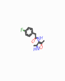 CC1=C(NC(=O)Cc2ccc(F)cc2)C(C)NO1